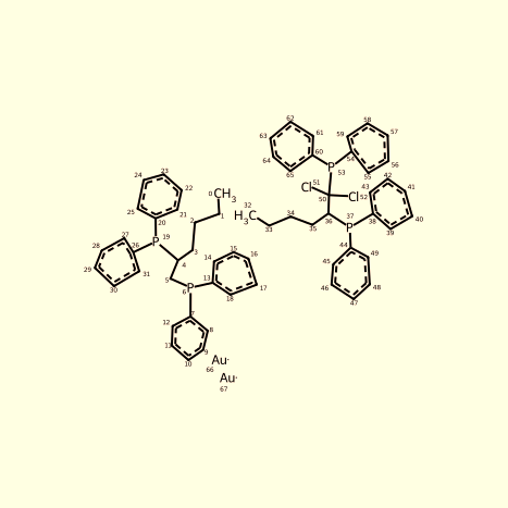 CCCCC(CP(c1ccccc1)c1ccccc1)P(c1ccccc1)c1ccccc1.CCCCC(P(c1ccccc1)c1ccccc1)C(Cl)(Cl)P(c1ccccc1)c1ccccc1.[Au].[Au]